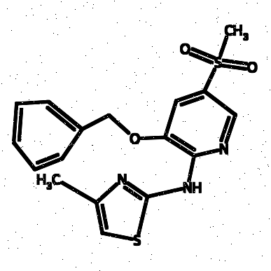 Cc1csc(Nc2ncc(S(C)(=O)=O)cc2OCc2ccccc2)n1